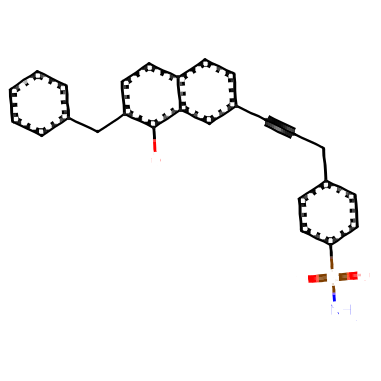 NS(=O)(=O)c1ccc(CC#Cc2ccc3ccc(Cc4ccccc4)c(O)c3c2)cc1